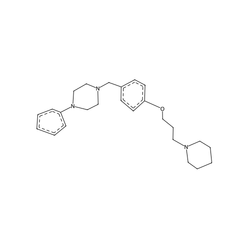 c1ccc(N2CCN(Cc3ccc(OCCCN4CCCCC4)cc3)CC2)cc1